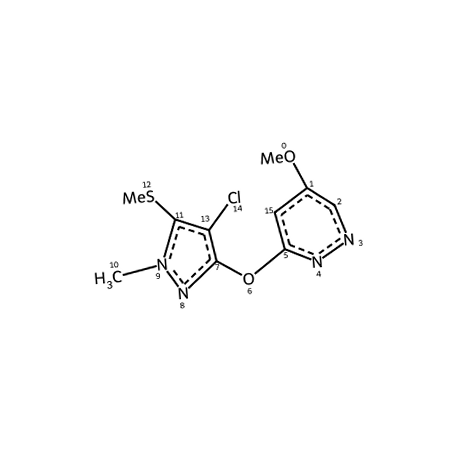 COc1cnnc(Oc2nn(C)c(SC)c2Cl)c1